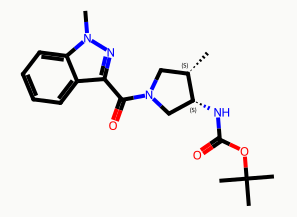 C[C@H]1CN(C(=O)c2nn(C)c3ccccc23)C[C@H]1NC(=O)OC(C)(C)C